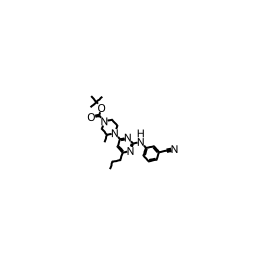 CCCc1cc(N2CCN(C(=O)OC(C)(C)C)CC2C)nc(Nc2cccc(C#N)c2)n1